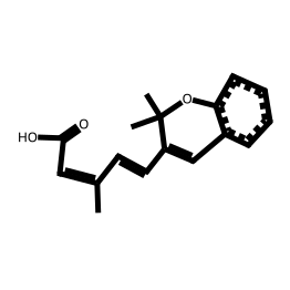 CC(=C/C(=O)O)/C=C/C1=Cc2ccccc2OC1(C)C